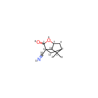 CC1(C)C2CC3OC(=O)C(C#N)(C2)C31